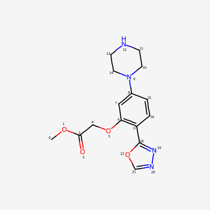 COC(=O)COc1cc(N2CCNCC2)ccc1-c1nnco1